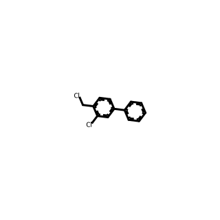 ClCc1ccc(-c2ccccc2)cc1Cl